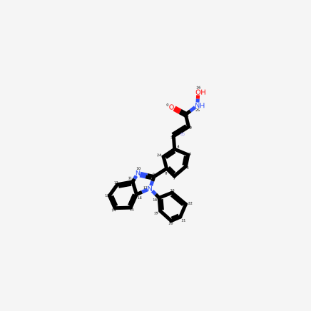 O=C(/C=C/c1cccc(-c2nc3ccccc3n2-c2ccccc2)c1)NO